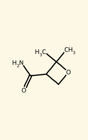 CC1(C)OCC1C(N)=O